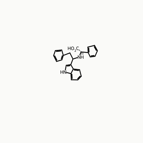 O=C(O)[C@@H](NC(Cc1ccccc1)c1c[nH]c2ccccc12)c1ccccc1